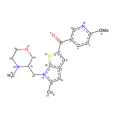 COc1ccc(C(=O)c2cc3cc(C)n(CC4COCCN4C)c3s2)cn1